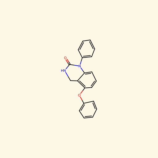 O=C1NCc2c(Oc3ccccc3)cccc2N1c1ccccc1